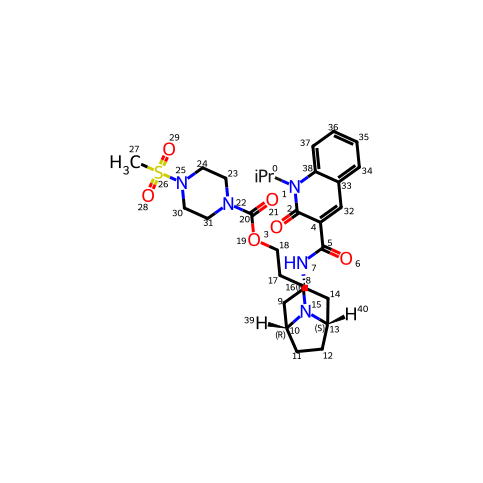 CC(C)n1c(=O)c(C(=O)N[C@H]2C[C@H]3CC[C@@H](C2)N3CCCOC(=O)N2CCN(S(C)(=O)=O)CC2)cc2ccccc21